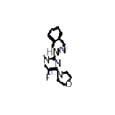 C=N/C(=N\C(=C(/C)F)N1CCOCC1)N/N=C\c1ccccc1C